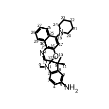 CN1c2ccc(N)cc2C(C)(C)C12C=Nc1c(cc(N3CCCCC3)c3ccccc13)O2